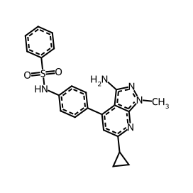 Cn1nc(N)c2c(-c3ccc(NS(=O)(=O)c4ccccc4)cc3)cc(C3CC3)nc21